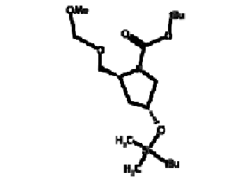 COCOC[C@@H]1C[C@@H](O[Si](C)(C)C(C)(C)C)CN1C(=O)OC(C)(C)C